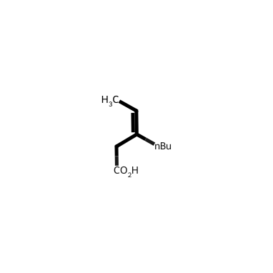 C/C=C(/CCCC)CC(=O)O